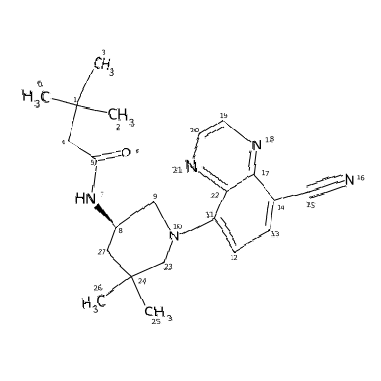 CC(C)(C)CC(=O)N[C@H]1CN(c2ccc(C#N)c3nccnc23)CC(C)(C)C1